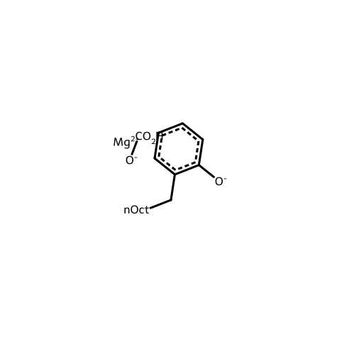 CCCCCCCCCc1ccccc1[O-].O=C([O-])O.[Mg+2]